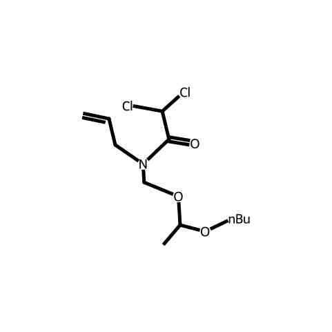 C=CCN(COC(C)OCCCC)C(=O)C(Cl)Cl